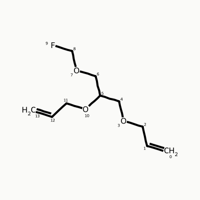 C=CCOCC(COCF)OCC=C